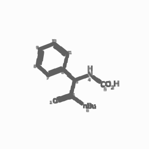 CCCCC(=O)C(NC(=O)O)c1ccccc1